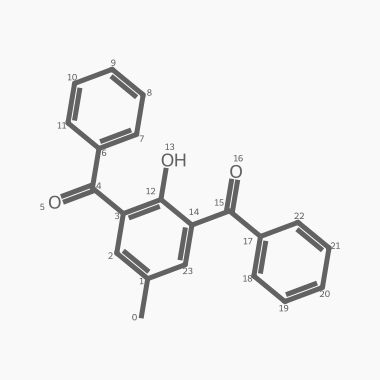 Cc1cc(C(=O)c2ccccc2)c(O)c(C(=O)c2ccccc2)c1